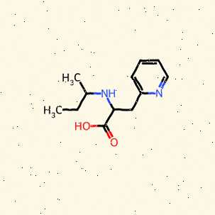 CCC(C)NC(Cc1ccccn1)C(=O)O